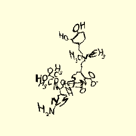 CC(C)(O/N=C(\C(=O)NC1C(=O)N2C(C(=O)[O-])=C(/C=C/C[N+](C)(C)CCc3ccc(O)c(O)c3)CS[C@@H]12)c1csc(N)n1)C(=O)O